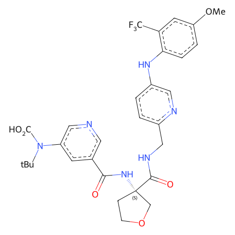 COc1ccc(Nc2ccc(CNC(=O)[C@]3(NC(=O)c4cncc(N(C(=O)O)C(C)(C)C)c4)CCOC3)nc2)c(C(F)(F)F)c1